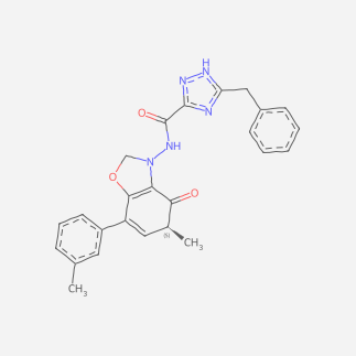 Cc1cccc(C2=C[C@H](C)C(=O)C3=C2OCN3NC(=O)c2n[nH]c(Cc3ccccc3)n2)c1